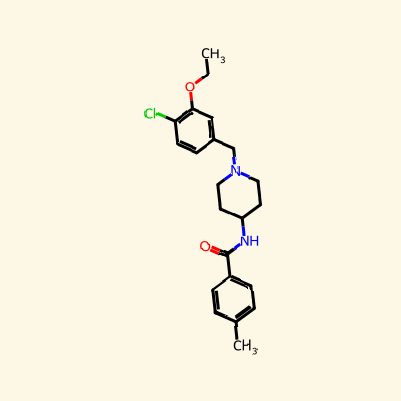 CCOc1cc(CN2CCC(NC(=O)c3ccc(C)cc3)CC2)ccc1Cl